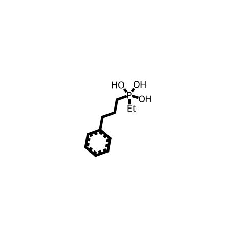 CCP(O)(O)(O)CCCc1ccccc1